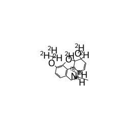 [2H]OC1([2H])C=C[C@@]2([2H])[C@H]3Cc4ccc(OC([2H])([2H])[2H])c5c4[C@@]2(CCN3C)C1([2H])O5